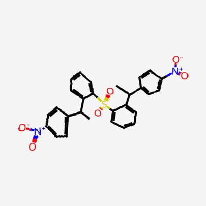 CC(c1ccc([N+](=O)[O-])cc1)c1ccccc1S(=O)(=O)c1ccccc1C(C)c1ccc([N+](=O)[O-])cc1